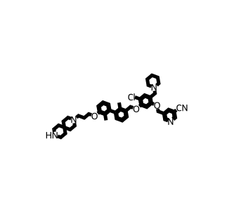 Cc1c(COc2cc(OCc3cncc(C#N)c3)c(CN3CCCCC3)cc2Cl)cccc1-c1cccc(OCCCN2CCC3(CCNCC3)CC2)c1C